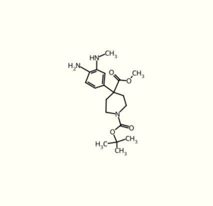 CNc1cc(C2(C(=O)OC)CCN(C(=O)OC(C)(C)C)CC2)ccc1N